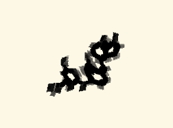 Nc1cc(Cl)nc(Nc2ccc(Cc3ccnc4[nH]ccc34)c(F)c2)n1